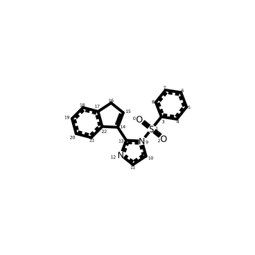 O=S(=O)(c1ccccc1)n1ccnc1C1=CCc2ccccc21